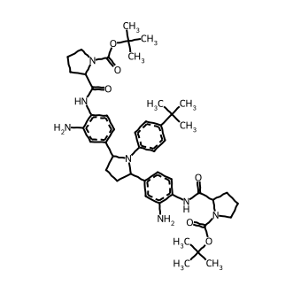 CC(C)(C)OC(=O)N1CCCC1C(=O)Nc1ccc(C2CCC(c3ccc(NC(=O)C4CCCN4C(=O)OC(C)(C)C)c(N)c3)N2c2ccc(C(C)(C)C)cc2)cc1N